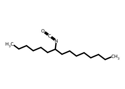 CCCCCCCCC(CCCCCC)N=C=O